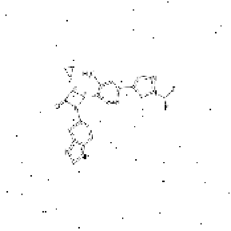 Cc1cc(-c2cnn(C(F)F)c2)ncc1[C@H]1[C@@H](C2CC2)C(=O)N1c1ccc2[nH]cnc2c1